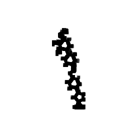 CCCCC1CCC(c2ccc(COc3ccc(-c4ccc(OCC)c(F)c4F)cc3)cc2)C1